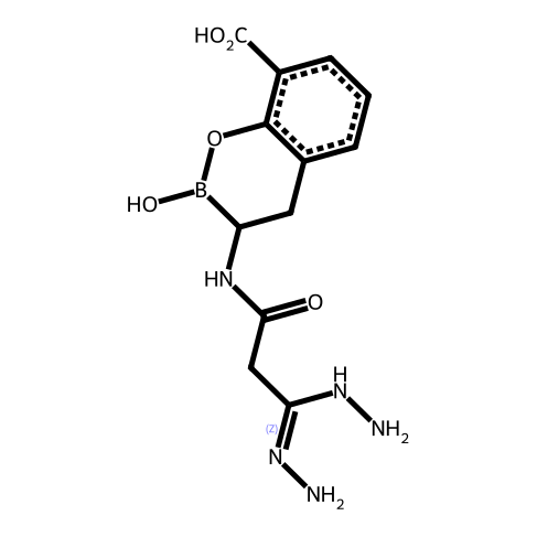 N/N=C(/CC(=O)NC1Cc2cccc(C(=O)O)c2OB1O)NN